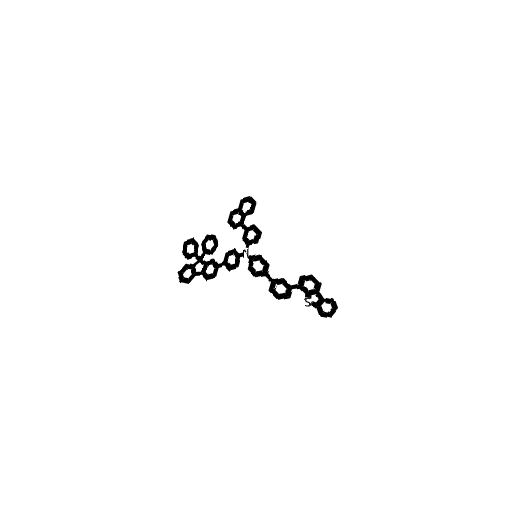 c1ccc(C2(c3ccccc3)c3ccccc3-c3ccc(-c4ccc(N(c5ccc(-c6cccc(-c7cccc8c7sc7ccccc78)c6)cc5)c5cccc(-c6cccc7ccccc67)c5)cc4)cc32)cc1